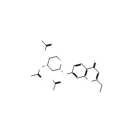 CCc1cc(=O)c2ccc(O[C@@H]3SC[C@@H](OC(C)=O)[C@H](OC(C)=O)[C@H]3OC(C)=O)cc2o1